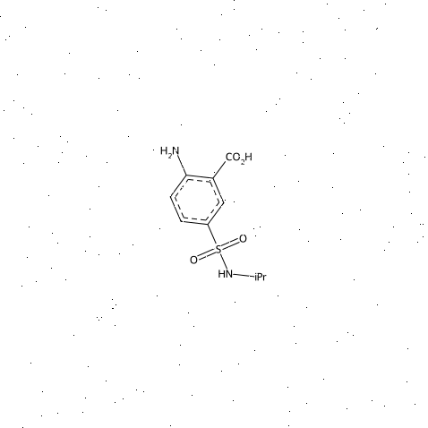 CC(C)NS(=O)(=O)c1ccc(N)c(C(=O)O)c1